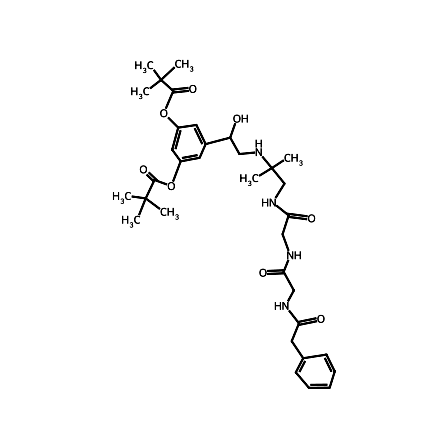 CC(C)(CNC(=O)CNC(=O)CNC(=O)Cc1ccccc1)NCC(O)c1cc(OC(=O)C(C)(C)C)cc(OC(=O)C(C)(C)C)c1